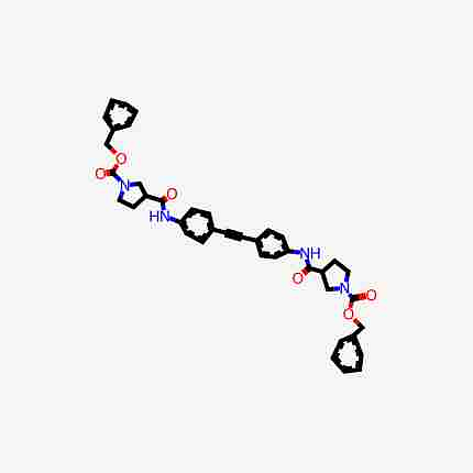 O=C(Nc1ccc(C#Cc2ccc(NC(=O)C3CCN(C(=O)OCc4ccccc4)C3)cc2)cc1)C1CCN(C(=O)OCc2ccccc2)C1